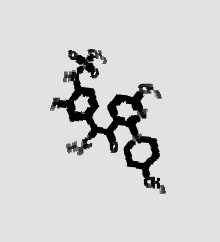 CC1CCN(c2nc(C(F)(F)F)ccc2C(=O)C(C)c2ccc(NS(C)(=O)=O)c(F)c2)CC1